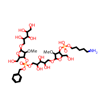 COC1C(OCC(O)C(O)C(O)COP(=O)(OCc2ccccc2)OC2C(CO)OC(OCC(O)C(O)C(O)CO)C2OC)OC(CO)C1OP(=O)(O)OCCCCCN